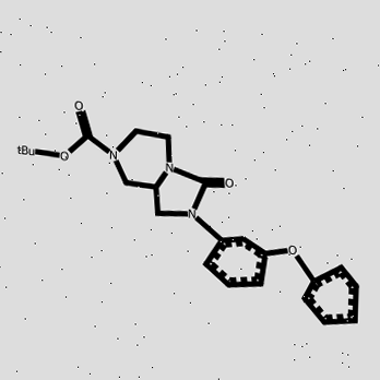 CC(C)(C)OC(=O)N1CCN2C(=O)N(c3cccc(Oc4ccccc4)c3)CC2C1